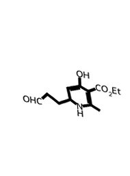 CCOC(=O)C1=C(C)NC(CCC=O)C=C1O